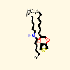 CC(C)CCCCCNCCCCCC(C)C.O=S(=O)(O)CCCCCCC1COc2cscc2O1